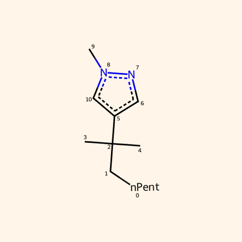 CCCCCCC(C)(C)c1cnn(C)c1